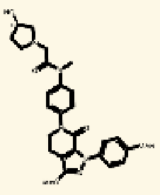 COc1ccc(-n2nc(OC)c3c2C(=O)N(c2ccc(N(C)C(=O)CN4CC[C@@H](O)C4)cc2)CC3)cc1